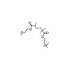 COCCOC(=O)C(C)CCC(C)(C)C(=O)OCC[N+](C)(C)C